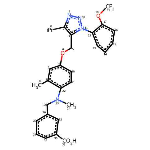 Cc1cc(OCc2c(C(C)C)nnn2-c2ccccc2OC(F)(F)F)ccc1N(C)Cc1cccc(C(=O)O)c1